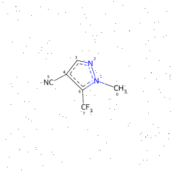 Cn1ncc(C#N)c1C(F)(F)F